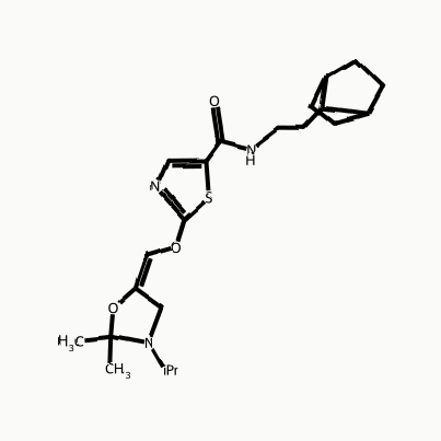 CC(C)N1CC(=COc2ncc(C(=O)NCCC3C4CCC3CC4)s2)OC1(C)C